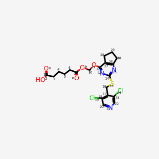 O=C(O)CCCCC(=O)OCOc1nc(SCc2c(Cl)cncc2Cl)nc2c1CCC2